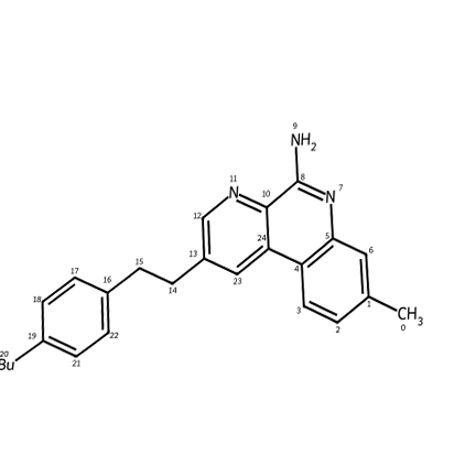 Cc1ccc2c(c1)nc(N)c1ncc(CCc3ccc(C(C)(C)C)cc3)cc12